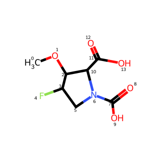 COC1C(F)CN(C(=O)O)C1C(=O)O